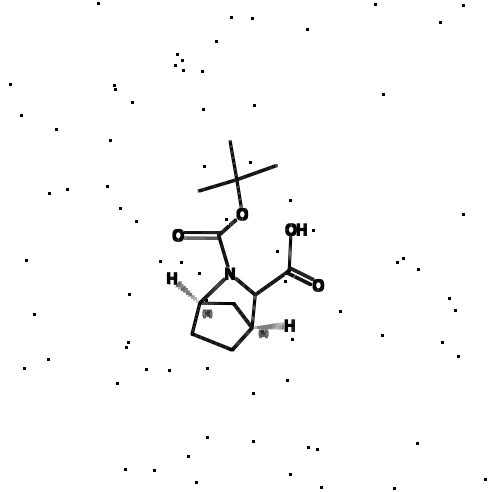 CC(C)(C)OC(=O)N1C(C(=O)O)[C@H]2CC[C@@H]1C2